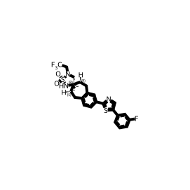 O=S1(=O)N[C@@]2(CN1CC(F)(F)F)[C@@H]1CC[C@H]2Cc2ccc(-c3ncc(-c4cccc(F)c4)s3)cc2C1